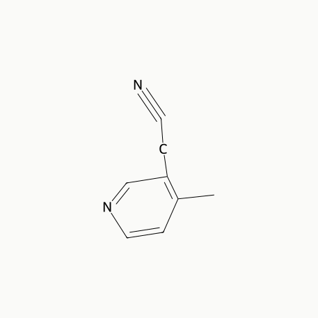 Cc1ccncc1CC#N